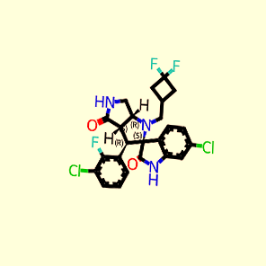 O=C1NC[C@H]2[C@@H]1[C@H](c1cccc(Cl)c1F)[C@]1(C(=O)Nc3cc(Cl)ccc31)N2CC1CC(F)(F)C1